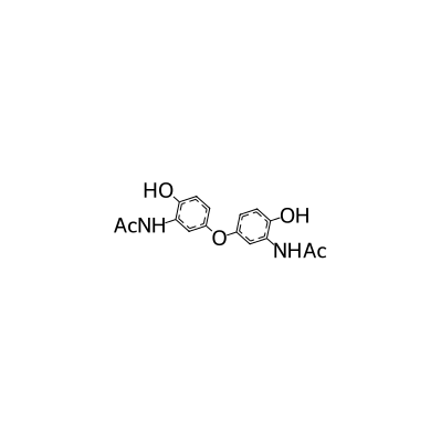 CC(=O)Nc1cc(Oc2ccc(O)c(NC(C)=O)c2)ccc1O